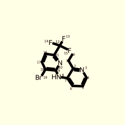 CCc1ncccc1Nc1nc(C(F)(F)F)ccc1Br